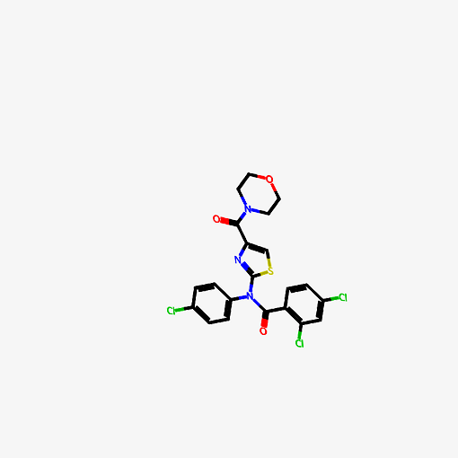 O=C(c1csc(N(C(=O)c2ccc(Cl)cc2Cl)c2ccc(Cl)cc2)n1)N1CCOCC1